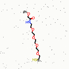 CC(C)OCC(=O)NCCOCCOCCOCCOC[C@H](C)S